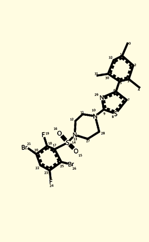 Cc1cc(C)c(-c2csc(N3CCN(S(=O)(=O)c4c(F)c(Br)cc(F)c4Br)CC3)n2)c(C)c1